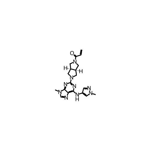 C=CC(=O)N1C[C@@H]2CN(c3nc(Nc4cnn(C)c4)c4ncn(C)c4n3)C[C@@H]2C1